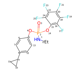 CCNP(=O)(Oc1ccc(C2CC2)cc1)Oc1c(F)c(F)c(F)c(F)c1F